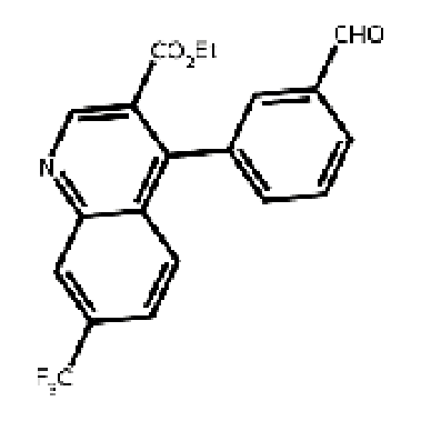 CCOC(=O)c1cnc2cc(C(F)(F)F)ccc2c1-c1cccc(C=O)c1